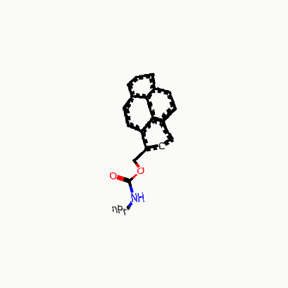 CCCNC(=O)OCc1ccc2ccc3cccc4ccc1c2c34